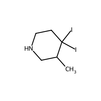 CC1CNCCC1(I)I